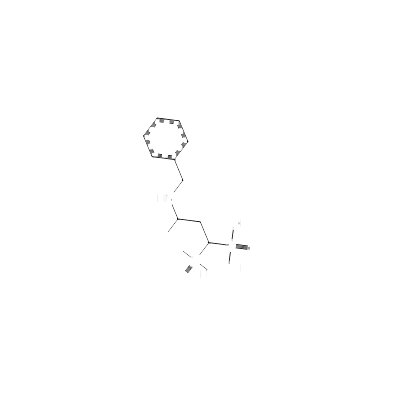 CCC(CC(P(=O)(O)O)P(=O)(O)O)NCc1ccccc1